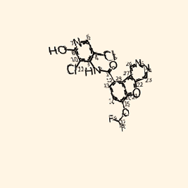 O=C(Nc1c(Cl)cnc(O)c1Cl)c1ccc(OC(F)F)c2oc3cnncc3c12